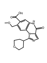 COCc1cc2c(cc1C(=O)O)[nH]c(=O)c1cnc(C3CCOCC3)n12